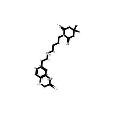 CC1(C)CC(=O)N(CCCCNCCc2ccc3c(c2)NC(=O)CO3)C(=O)C1